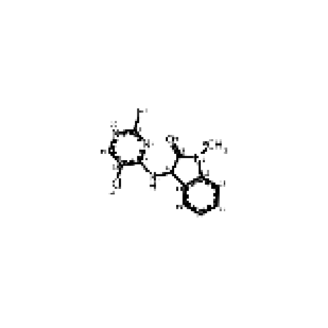 CN1C(=O)C(Nc2nc(F)ncc2Cl)c2ccccc21